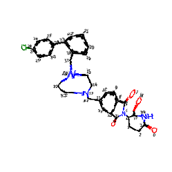 O=C1CCC(N2C(=O)c3ccc(CN4CCN(Cc5ccccc5-c5ccc(Cl)cc5)CC4)cc3C2=O)C(=O)N1